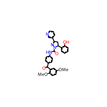 COc1ccc(OC)c(C(=O)c2ccc(NC(=O)N3N=C(c4cccnc4)CC3c3ccccc3O)cc2)c1